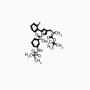 CN(Cc1cc(-c2ccccc2F)n(S(=O)(=O)c2cccc(NS(=O)(=O)N(C)C)c2)c1)C(=O)OC(C)(C)C